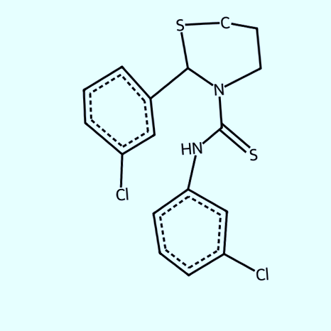 S=C(Nc1cccc(Cl)c1)N1CCCSC1c1cccc(Cl)c1